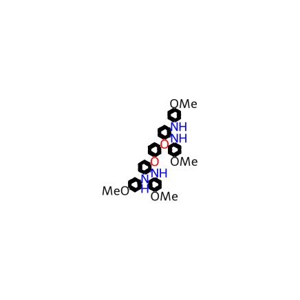 COc1ccc(Nc2cccc(Oc3cccc(Oc4cccc(Nc5ccc(OC)cc5)c4Nc4ccc(OC)cc4)c3)c2Nc2ccc(OC)cc2)cc1